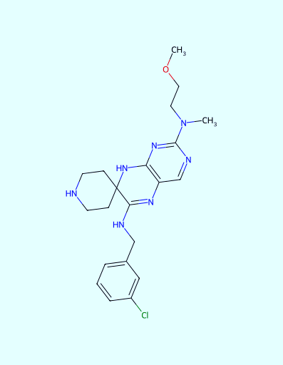 COCCN(C)c1ncc2c(n1)NC1(CCNCC1)C(NCc1cccc(Cl)c1)=N2